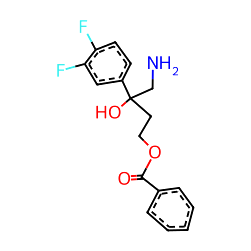 NCC(O)(CCOC(=O)c1ccccc1)c1ccc(F)c(F)c1